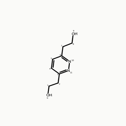 OCCc1ccc(CCO)nn1